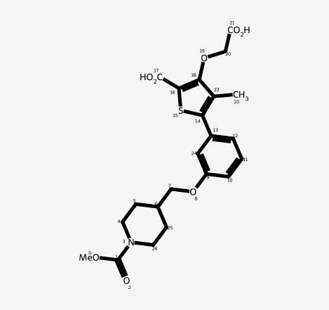 COC(=O)N1CCC(COc2cccc(-c3sc(C(=O)O)c(OCC(=O)O)c3C)c2)CC1